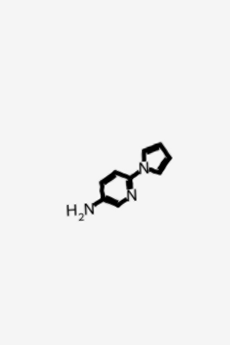 Nc1ccc(-n2cccc2)nc1